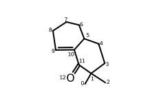 CC1(C)CCC2CCCC=C2C1=O